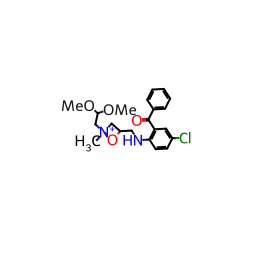 COC(C[N+]1(C)CC(CNc2ccc(Cl)cc2C(=O)c2ccccc2)O1)OC